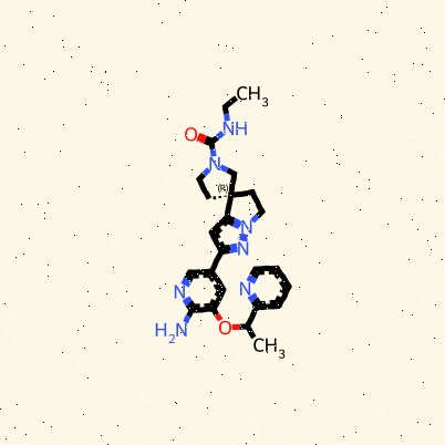 CCNC(=O)N1CC[C@@]2(CCn3nc(-c4cnc(N)c(OC(C)c5ccccn5)c4)cc32)C1